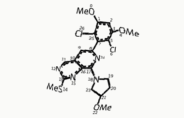 COc1cc(OC)c(Cl)c(-c2cc3cnc(SC)nc3c(N3CCC(OC)C3)n2)c1Cl